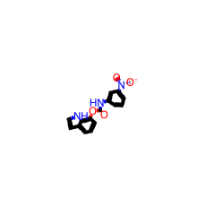 O=C(Nc1cccc([N+](=O)[O-])c1)Oc1cccc2cc[nH]c12